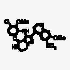 COc1cc2nccc(-c3nn4c(c3Nc3cccc(Cl)c3OC)C(=O)NCC4)c2cc1[N+](=O)[O-]